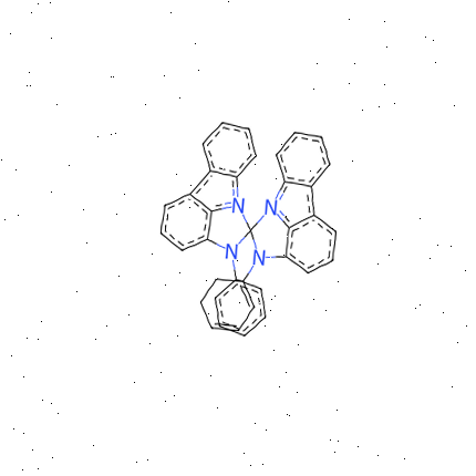 C1=CCCC(N2c3cccc4c5ccccc5n(c34)C23N(c2ccccc2)c2cccc4c5ccccc5n3c24)=C1